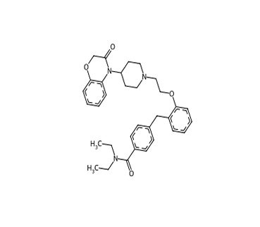 CCN(CC)C(=O)c1ccc(Cc2ccccc2OCCN2CCC(N3C(=O)COc4ccccc43)CC2)cc1